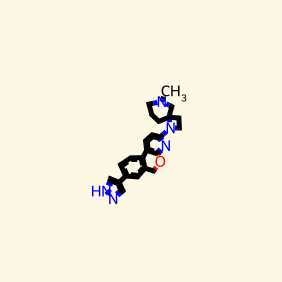 CN1CCCC2(CCN2c2ccc3c(n2)OCc2cc(-c4cn[nH]c4)ccc2-3)C1